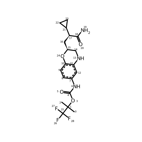 CC(C)(OC(=O)Nc1ccc2c(c1)NC[C@H](C[C@H](C(N)=O)C1CC1)O2)C(F)(F)F